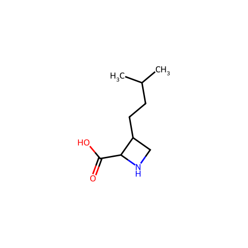 CC(C)CCC1CNC1C(=O)O